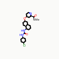 CNC(=O)c1cc(Oc2ccc3c(NC(=O)Nc4ccc(Cl)cc4)cccc3c2)ccn1